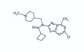 Cc1cc(Cl)cc2sc(N(CC3CCN(C)CC3)C(=O)C3CCC3)nc12